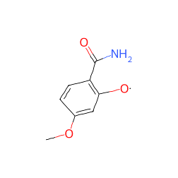 COc1ccc(C(N)=O)c([O])c1